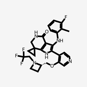 Cc1c(F)cccc1Nc1c(-c2ccncc2OC[C@@H]2CCN2CC(F)(F)F)[nH]c2c1C(=O)NCC21CC1